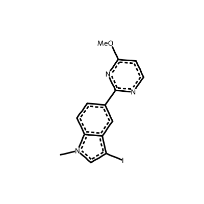 COc1ccnc(-c2ccc3c(c2)c(I)cn3C)n1